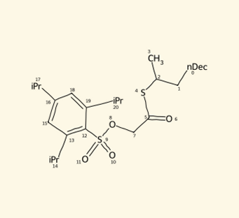 CCCCCCCCCCCC(C)SC(=O)COS(=O)(=O)c1c(C(C)C)cc(C(C)C)cc1C(C)C